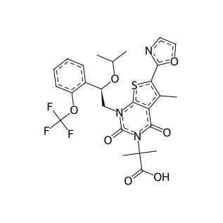 Cc1c(-c2ncco2)sc2c1c(=O)n(C(C)(C)C(=O)O)c(=O)n2C[C@H](OC(C)C)c1ccccc1OC(F)(F)F